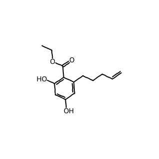 C=CCCCc1cc(O)cc(O)c1C(=O)OCC